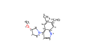 CCOC1CCN(c2ccnc3cc(C=O)c(C)cc23)C1